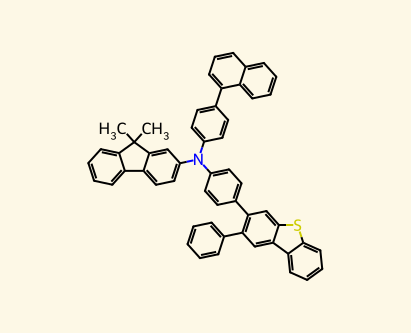 CC1(C)c2ccccc2-c2ccc(N(c3ccc(-c4cc5sc6ccccc6c5cc4-c4ccccc4)cc3)c3ccc(-c4cccc5ccccc45)cc3)cc21